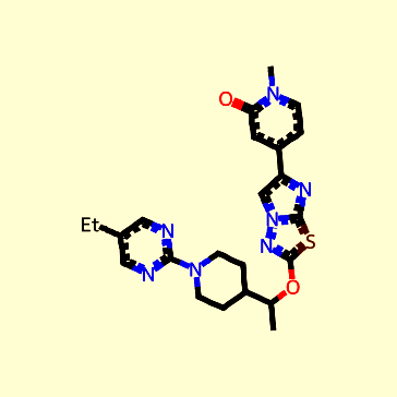 CCc1cnc(N2CCC(C(C)Oc3nn4cc(-c5ccn(C)c(=O)c5)nc4s3)CC2)nc1